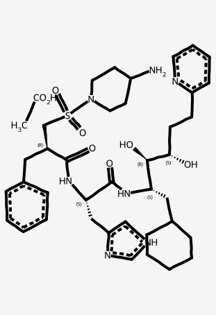 CC(=O)O.NC1CCN(S(=O)(=O)C[C@H](Cc2ccccc2)C(=O)N[C@@H](Cc2c[nH]cn2)C(=O)N[C@@H](CC2CCCCC2)[C@@H](O)[C@@H](O)CCc2ccccn2)CC1